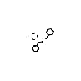 O=C(OCc1ccccc1)C(c1ccccc1)N1CNCNC1